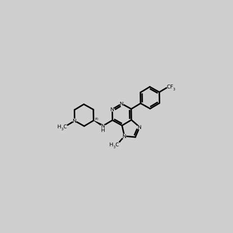 CN1CCC[C@@H](Nc2nnc(-c3ccc(C(F)(F)F)cc3)c3ncn(C)c23)C1